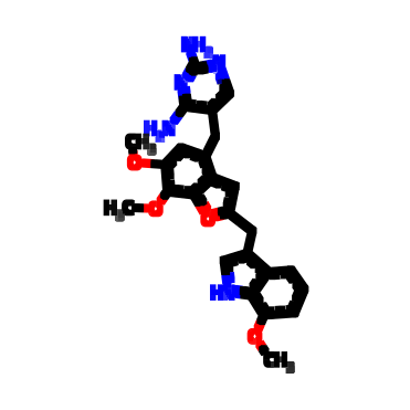 COc1cc(Cc2cnc(N)nc2N)c2cc(Cc3c[nH]c4c(OC)cccc34)oc2c1OC